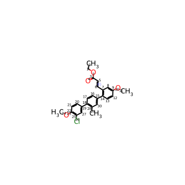 CCOC(=O)/C=C/c1cc(OC)ccc1-c1ccc(-c2ccc(OC)c(Cl)c2)c(C)c1